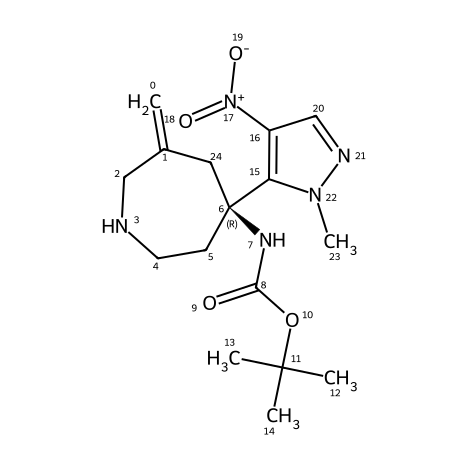 C=C1CNCC[C@@](NC(=O)OC(C)(C)C)(c2c([N+](=O)[O-])cnn2C)C1